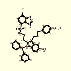 O=C(O)c1ccc(CCCc2c(CCNS(=O)(=O)c3ccc(Cl)c4nonc34)n(C(c3ccccc3)c3ccccc3)c3ccc(Cl)cc23)cc1